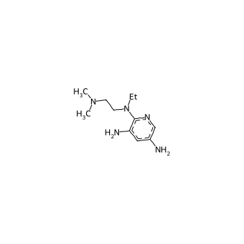 CCN(CCN(C)C)c1ncc(N)cc1N